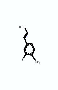 CCOC(=O)/C=C/c1ccc(N)c(F)c1